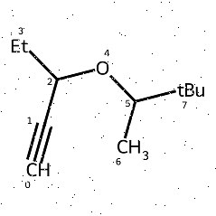 C#CC(CC)OC(C)C(C)(C)C